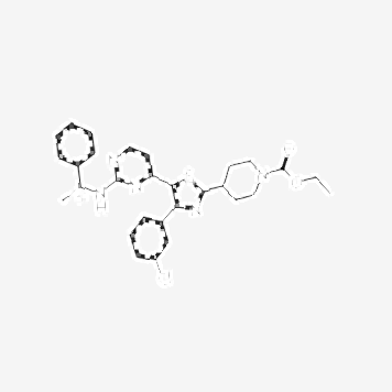 CCOC(=O)N1CCC(c2nc(-c3cccc(Cl)c3)c(-c3ccnc(N[C@@H](C)c4ccccc4)n3)s2)CC1